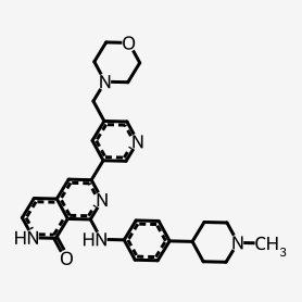 CN1CCC(c2ccc(Nc3nc(-c4cncc(CN5CCOCC5)c4)cc4cc[nH]c(=O)c34)cc2)CC1